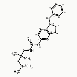 CN(C)CC(C)(C)CNC(=O)Oc1ccc2c(c1)CCN2Cc1ccccc1